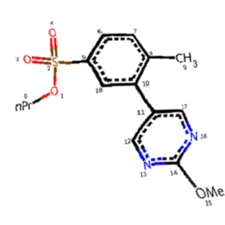 CCCOS(=O)(=O)c1ccc(C)c(-c2cnc(OC)nc2)c1